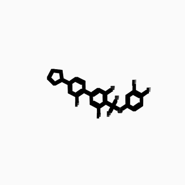 Fc1ccc(OC(F)(F)c2c(F)cc(-c3ccc(C4CCCC4)cc3F)cc2F)cc1F